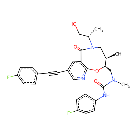 C[C@@H]1CN([C@@H](C)CO)C(=O)c2cc(C#Cc3ccc(F)cc3)cnc2O[C@@H]1CN(C)C(=O)Nc1ccc(F)cc1